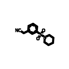 N#CCc1cccc(S(=O)(=O)N2CCCCC2)c1